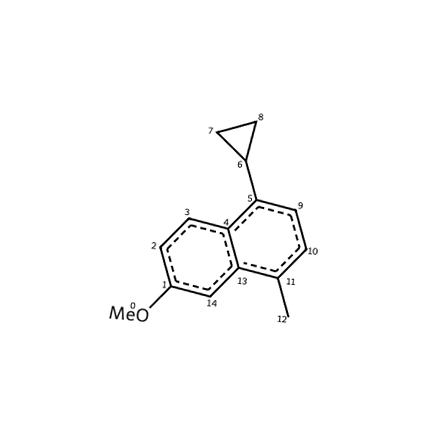 COc1ccc2c(C3CC3)ccc(C)c2c1